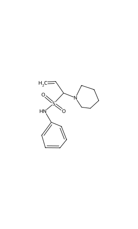 C=CC(N1CCCCC1)S(=O)(=O)Nc1ccccc1